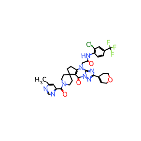 Cc1cc(C(=O)N2CCC3(CCc4c3c(=O)n3nc(C5=CCOCC5)nc3n4CC(=O)Nc3ccc(C(F)(F)F)cc3Cl)CC2)ncn1